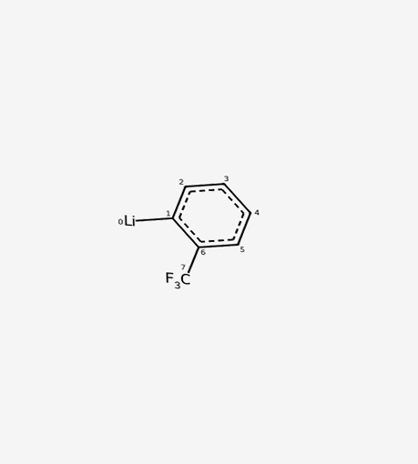 [Li][c]1ccccc1C(F)(F)F